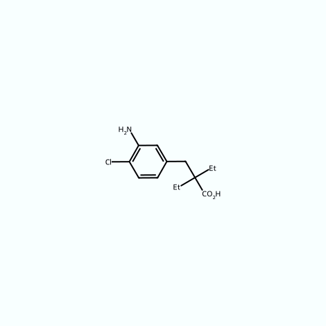 CCC(CC)(Cc1ccc(Cl)c(N)c1)C(=O)O